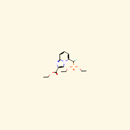 CCOC(=O)c1cn2c(C(F)P(=O)(OCC)OCC)cccc2n1